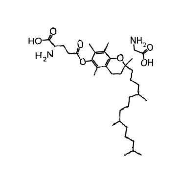 Cc1c(C)c2c(c(C)c1OC(=O)CC[C@H](N)C(=O)O)CCC(C)(CCCC(C)CCCC(C)CCCC(C)C)O2.NCC(=O)O